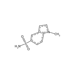 Cn1ccc2cc(S(N)(=O)=O)ccc21